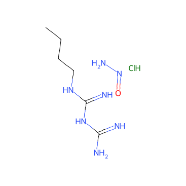 CCCCNC(=N)NC(=N)N.Cl.NN=O